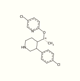 C[C@@H](Oc1ccc(Cl)cn1)C1CCNCC1c1ccc(Cl)cc1